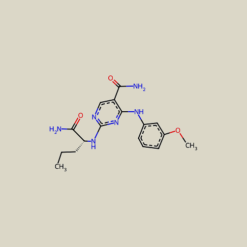 CCC[C@@H](Nc1ncc(C(N)=O)c(Nc2cccc(OC)c2)n1)C(N)=O